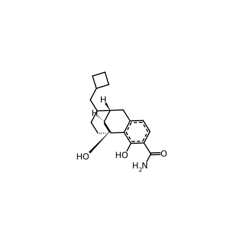 NC(=O)c1ccc2c(c1O)[C@]13CCC(CC4CCC4)[C@H](C2)[C@@H]1CC[C@H](O)C3